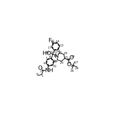 CCC(=O)Nc1ccc(C(O)(c2cccc(F)c2)N2CCC(C(=O)OC(C)(C)C)CC2)cc1